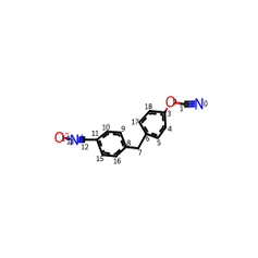 N#COc1ccc(Cc2ccc(C#[N+][O-])cc2)cc1